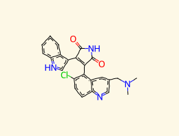 CN(C)Cc1cnc2ccc(Cl)c(C3=C(c4c[nH]c5ccccc45)C(=O)NC3=O)c2c1